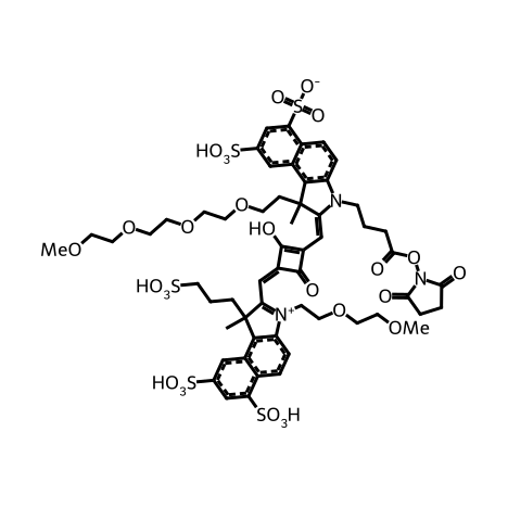 COCCOCCOCCOCCC1(C)/C(=C\C2=C(O)C(=C/C3=[N+](CCOCCOC)c4ccc5c(S(=O)(=O)O)cc(S(=O)(=O)O)cc5c4C3(C)CCCS(=O)(=O)O)/C2=O)N(CCCC(=O)ON2C(=O)CCC2=O)c2ccc3c(S(=O)(=O)[O-])cc(S(=O)(=O)O)cc3c21